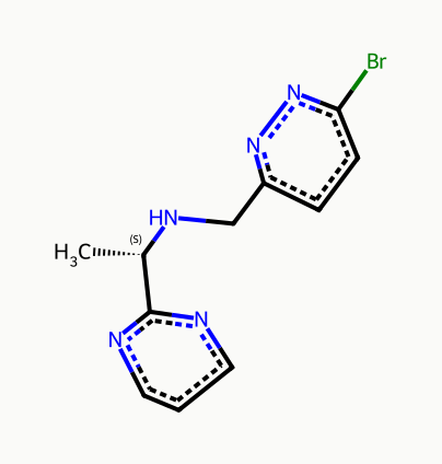 C[C@H](NCc1ccc(Br)nn1)c1ncccn1